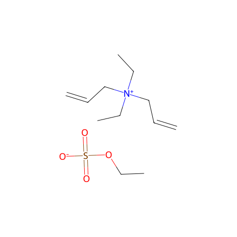 C=CC[N+](CC)(CC)CC=C.CCOS(=O)(=O)[O-]